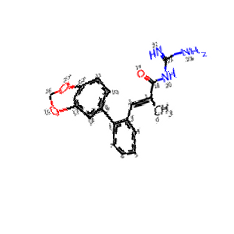 C/C(=C\c1ccccc1-c1ccc2c(c1)OCO2)C(=O)NC(=N)N